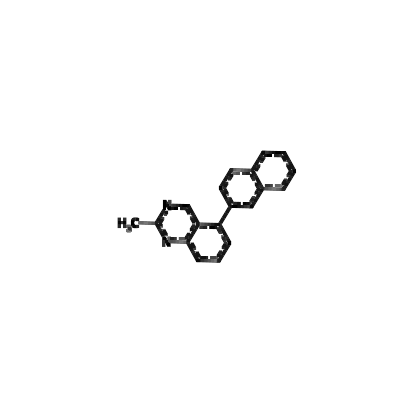 Cc1ncc2c(-c3ccc4ccccc4c3)cccc2n1